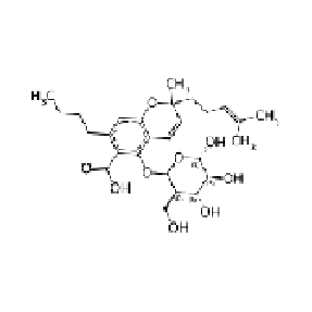 CCCCc1cc2c(c(OC3O[C@H](O)[C@@H](O)[C@H](O)[C@H]3CO)c1C(=O)O)C=CC(C)(CCC=C(C)C)O2